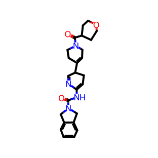 O=C(NC1=CCC(C2=CCN(C(=O)C3CCOCC3)CC2)C=N1)N1Cc2ccccc2C1